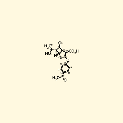 CC(O)[C@H]1C(=O)N2C(C(=O)O)=C(Oc3ccc([S+](C)[O-])cc3)S[C@H]12